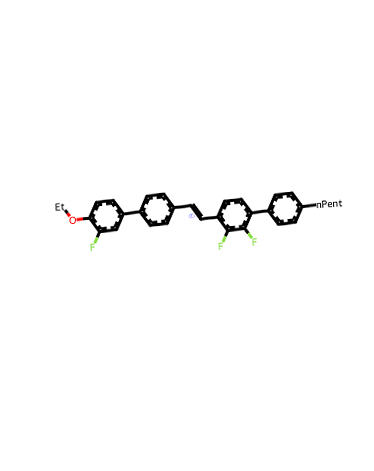 CCCCCc1ccc(-c2ccc(/C=C/c3ccc(-c4ccc(OCC)c(F)c4)cc3)c(F)c2F)cc1